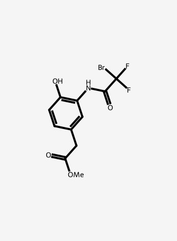 COC(=O)Cc1ccc(O)c(NC(=O)C(F)(F)Br)c1